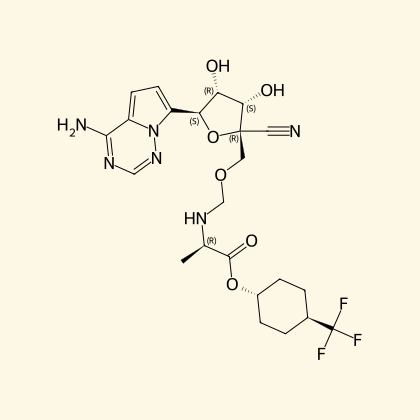 C[C@@H](NCOC[C@@]1(C#N)O[C@@H](c2ccc3c(N)ncnn23)[C@H](O)[C@@H]1O)C(=O)O[C@H]1CC[C@H](C(F)(F)F)CC1